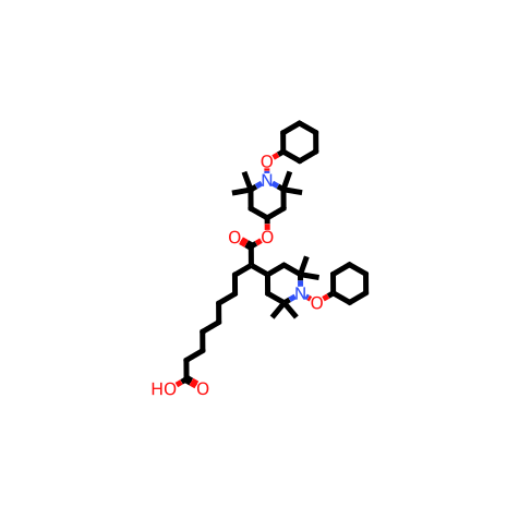 CC1(C)CC(OC(=O)C(CCCCCCCC(=O)O)C2CC(C)(C)N(OC3CCCCC3)C(C)(C)C2)CC(C)(C)N1OC1CCCCC1